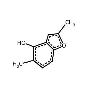 Cc1cc2c(O)c(C)ccc2o1